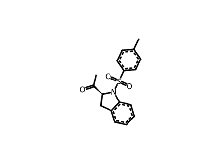 CC(=O)[C@@H]1Cc2ccccc2N1S(=O)(=O)c1ccc(C)cc1